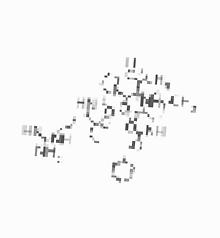 CC(C)C[C@H](NC(=O)OCc1ccccc1)C(=O)N[C@H](C(=O)N1CCC[C@H]1C(=O)N[C@@H](CCCNC(=N)N)C(=O)CF)C(C)C